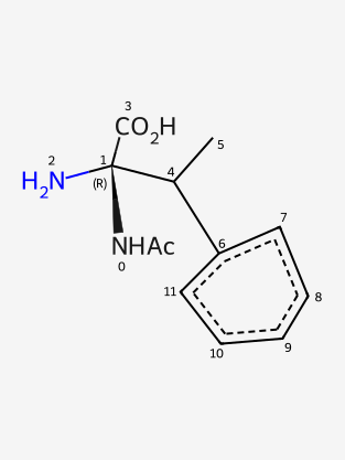 CC(=O)N[C@@](N)(C(=O)O)C(C)c1ccccc1